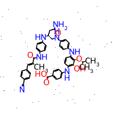 C/C(=C\c1ccc(C#N)cc1)C(=O)Nc1ccc(N[C@H](CNc2ccc(Nc3ccc(Nc4ccc(C(=O)O)cc4)c(O)c3OC(C)C)cc2)CC(N)=O)cc1